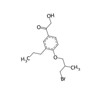 CCCc1cc(C(=O)CO)ccc1OCC(C)CBr